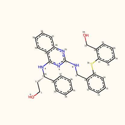 OCC[C@H](Nc1nc(NCc2ccccc2Sc2ccccc2CO)nc2ccccc12)c1ccccc1